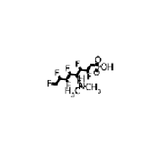 CNC.O=S(=O)(O)CC(F)C(F)C(F)C(F)C(F)C(F)CF